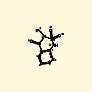 CC(C)N1C(=O)c2cccnc2NS1(=O)=O